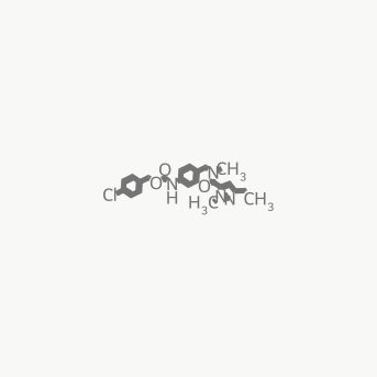 CCc1cc(C(=O)N(C)Cc2ccc(NC(=O)OCc3ccc(Cl)cc3)cc2)n(C)n1